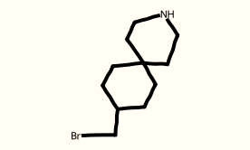 BrCC1CCC2(CCNCC2)CC1